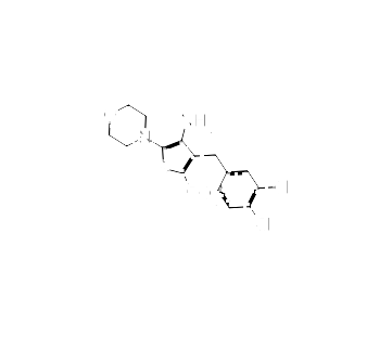 Nc1c(N2CCOCC2)sc(C(=O)O)c1Cc1ccc(Cl)c(Cl)c1